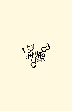 C#CCCC(=O)N(NC(=O)CNC)[C@@H](Cc1ccccc1)[C@H](O)CN(CC(C)C)S(=O)(=O)c1ccc2occc2c1